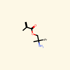 C=C(C)C(=O)OCC(C)(N)CCC